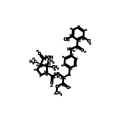 COC(=O)[C@H](Cc1ccc(NC(=O)c2c(Cl)cccc2Cl)cc1)NC(=O)[C@H]1CC[C@@](C)(C(=O)O)C1(C)C